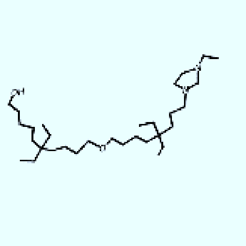 CCN1CCN(CCCC(CC)(CC)CCCCOCCCCC(CC)(CC)CCCCCO)C1